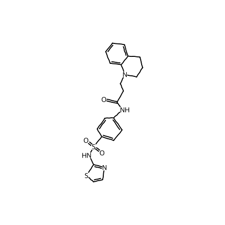 O=C(CCN1CCCc2ccccc21)Nc1ccc(S(=O)(=O)Nc2nccs2)cc1